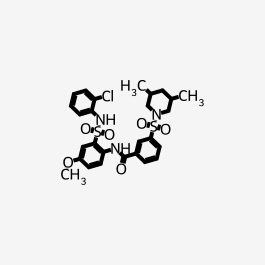 COc1ccc(NC(=O)c2cccc(S(=O)(=O)N3CC(C)CC(C)C3)c2)c(S(=O)(=O)Nc2ccccc2Cl)c1